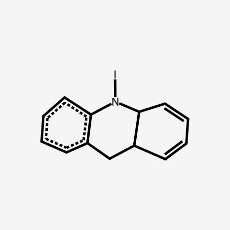 IN1c2ccccc2CC2C=CC=CC21